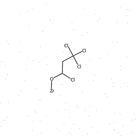 ClC(CC(Cl)(Cl)Cl)[O][Zr]